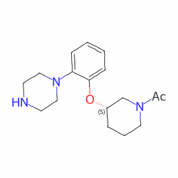 CC(=O)N1CCC[C@H](Oc2ccccc2N2CCNCC2)C1